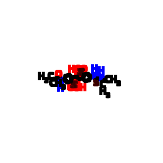 CC(C)NC(=S)Nc1ccc(/C=C/c2ccc(NC(=O)C(C)C)cc2S(=O)(=O)O)c(S(=O)(=O)O)c1